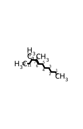 CCCCCC/C=C(\C)C(C)CC